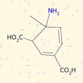 CC1(N)C=CC(C(=O)O)=CC1C(=O)O